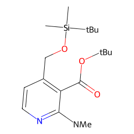 CNc1nccc(CO[Si](C)(C)C(C)(C)C)c1C(=O)OC(C)(C)C